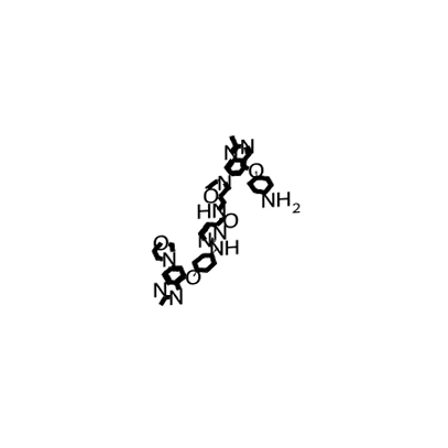 Cc1ncc2c(O[C@H]3CC[C@@H](N)CC3)cc(N3CCOC(CNC(=O)c4ccnc(N[C@H]5CC[C@@H](Oc6cc(N7CCOCC7)cc7nc(C)ncc67)CC5)n4)C3)cc2n1